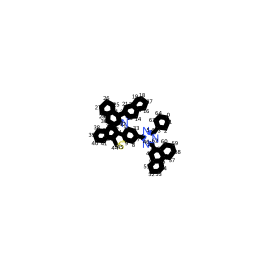 c1ccc(-c2nc(-c3cc4c(c(-n5c6cc7ccccc7cc6c6c7ccccc7ccc65)c3)-c3ccc5ccccc5c3CS4)nc(-c3cc4ccccc4c4ccccc34)n2)cc1